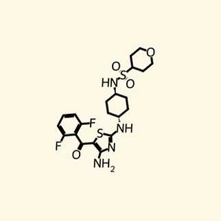 Nc1nc(N[C@H]2CC[C@H](NS(=O)(=O)C3CCOCC3)CC2)sc1C(=O)c1c(F)cccc1F